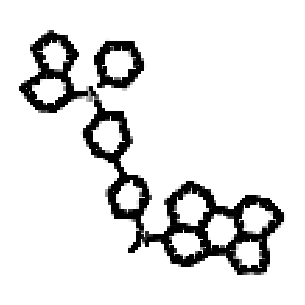 CN(c1ccc(-c2ccc(N(c3ccccc3)c3cccc4ccccc34)cc2)cc1)c1ccc2c3cccc4cccc(c5cccc1c52)c43